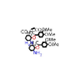 COc1ccc(C(C)OC2CCCCC2N)cc1OC.COc1ccc(C(C)OC2CCCCC2N)cc1OC.O=C(O)/C=C\C(=O)O